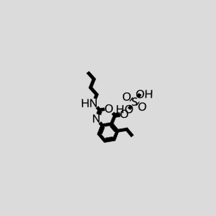 CCCCNc1nc2cccc(CC)c2c(=O)o1.O=S(=O)(O)O